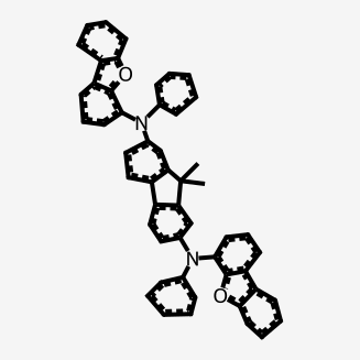 CC1(C)c2cc(N(c3ccccc3)c3cccc4c3oc3ccccc34)ccc2-c2ccc(N(c3ccccc3)c3cccc4c3oc3ccccc34)cc21